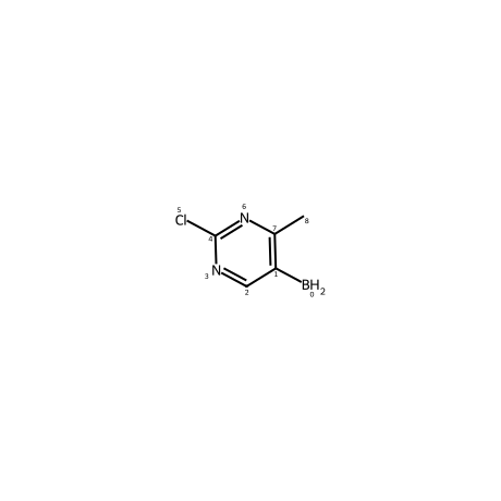 Bc1cnc(Cl)nc1C